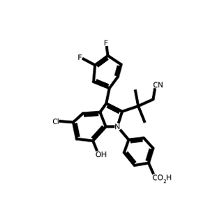 CC(C)(CC#N)c1c(-c2ccc(F)c(F)c2)c2cc(Cl)cc(O)c2n1-c1ccc(C(=O)O)cc1